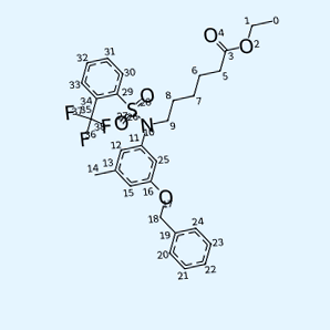 CCOC(=O)CCCCCN(c1cc(C)cc(OCc2ccccc2)c1)S(=O)(=O)c1ccccc1C(F)(F)F